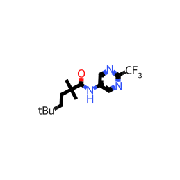 CC(C)(C)CCC(C)(C)C(=O)Nc1cnc(C(F)(F)F)nc1